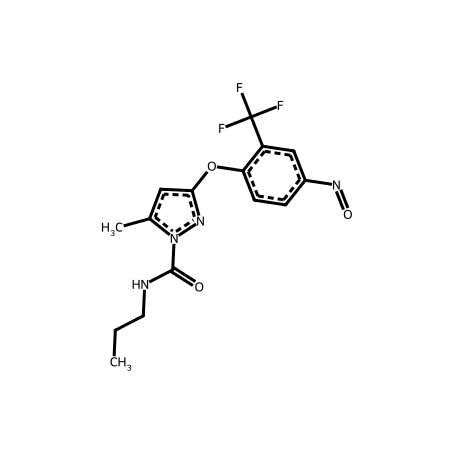 CCCNC(=O)n1nc(Oc2ccc(N=O)cc2C(F)(F)F)cc1C